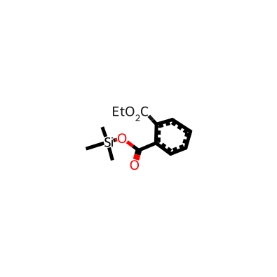 CCOC(=O)c1ccccc1C(=O)O[Si](C)(C)C